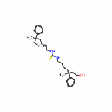 CC(CCO)(CCCCNC(=S)NCCCCC(C)(CC(=O)O)c1ccccc1)c1ccccc1